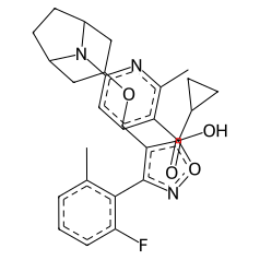 Cc1cccc(F)c1-c1noc(C2CC2)c1COC1CC2CCC(C1)N2c1ccc(C(=O)O)c(C)n1